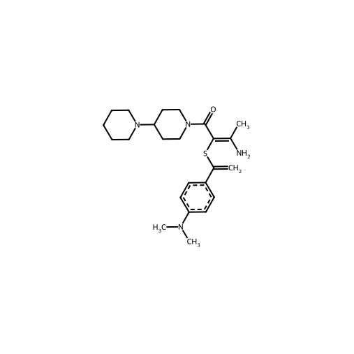 C=C(S/C(C(=O)N1CCC(N2CCCCC2)CC1)=C(/C)N)c1ccc(N(C)C)cc1